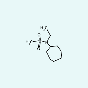 CCN(C1CCCCCC1)S(C)(=O)=O